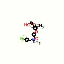 Cc1cc(Oc2cccc(C(=O)N(C)CCc3ccc(C(F)(F)F)cc3)c2)ccc1OC1(C)CC=C1O